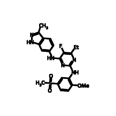 CCc1nc(Nc2cc(S(C)(=O)=O)ccc2OC)nc(Nc2ccc3c(C)n[nH]c3c2)c1F